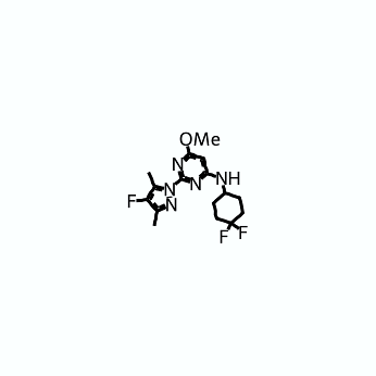 COc1cc(NC2CCC(F)(F)CC2)nc(-n2nc(C)c(F)c2C)n1